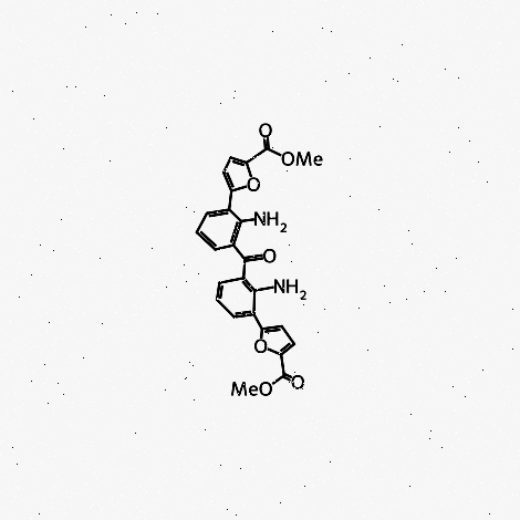 COC(=O)c1ccc(-c2cccc(C(=O)c3cccc(-c4ccc(C(=O)OC)o4)c3N)c2N)o1